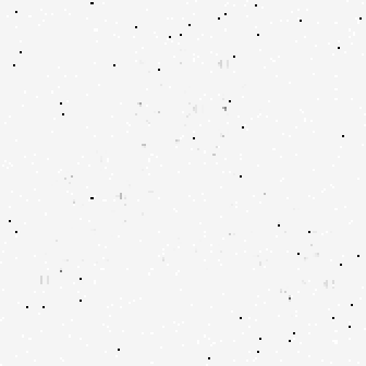 CC[C@H]1OC(=O)C[C@@H](O)[C@H](C)[C@@H](O[C@@H]2O[C@H](C)[C@@H](O[C@H]3C[C@@](C)(O)[C@@H](O)[C@H](C)O3)[C@H](N(C)C)[C@H]2O)[C@@H](CC=O)C[C@@H](C)C(=O)/C=C/C(C)=C/C1CO[C@@H]1O[C@H](C)[C@@H](O)[C@@H](OC)[C@H]1OC.O=C(O)[C@H](O)[C@@H](O)[C@H](O)[C@H](O)CO